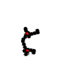 c1ccc(N(c2ccc(-c3ccc(-c4ccc5ccc(-c6ccc7c(c6)sc6cccc(-c8ccccc8N(c8ccc(-c9ccc(-c%10cccc%11ccccc%10%11)cc9)cc8)c8ccc(-c9ccc%10ccccc%10c9)cc8)c67)cc5c4)cc3)cc2)c2ccc(-c3ccc(-c4cccc5ccccc45)cc3)cc2)c(-c2cccc3sc4ccccc4c23)c1